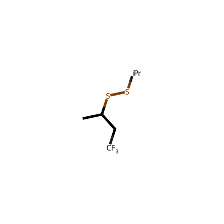 CC(C)SSC(C)CC(F)(F)F